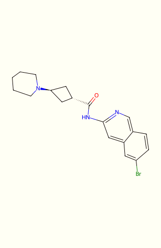 O=C(Nc1cc2cc(Br)ccc2cn1)[C@H]1C[C@H](N2CCCCC2)C1